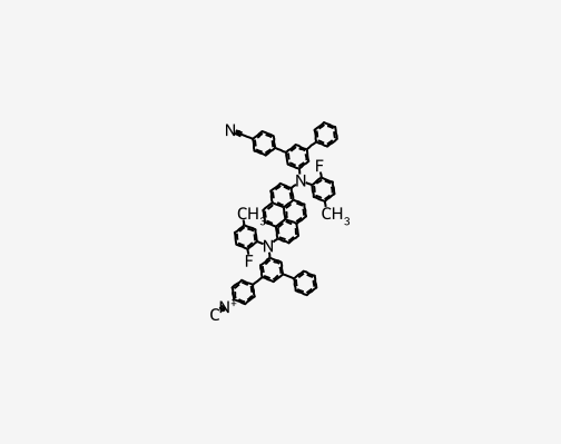 [C-]#[N+]c1ccc(-c2cc(-c3ccccc3)cc(N(c3cc(C)ccc3F)c3ccc4ccc5c(N(c6cc(-c7ccccc7)cc(-c7ccc(C#N)cc7)c6)c6cc(C)ccc6F)ccc6ccc3c4c65)c2)cc1